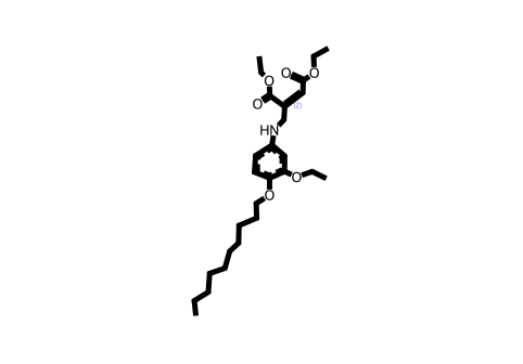 CCCCCCCCCCOc1ccc(NC/C(=C/C(=O)OCC)C(=O)OCC)cc1OCC